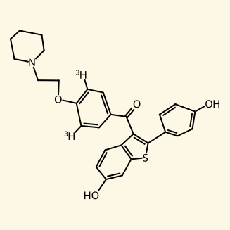 [3H]c1cc(C(=O)c2c(-c3ccc(O)cc3)sc3cc(O)ccc23)cc([3H])c1OCCN1CCCCC1